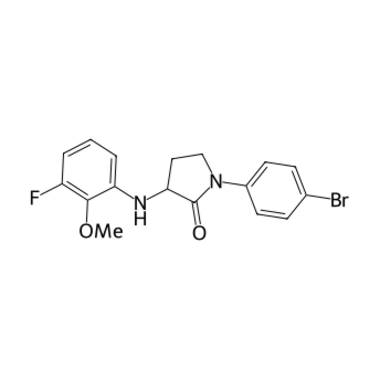 COc1c(F)cccc1NC1CCN(c2ccc(Br)cc2)C1=O